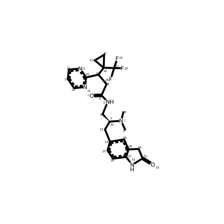 CN(C)[C@H](CNC(=O)CC(c1ncccn1)C1(C(F)(F)F)CC1)Cc1ccc2c(c1)CC(=O)N2